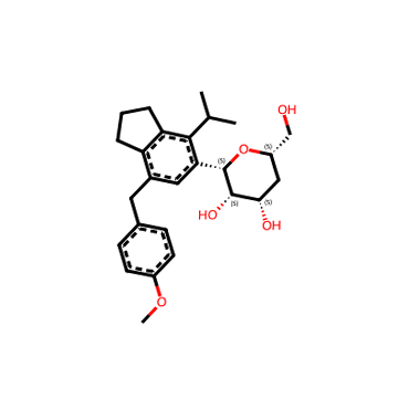 COc1ccc(Cc2cc([C@@H]3O[C@H](CO)C[C@H](O)[C@@H]3O)c(C(C)C)c3c2CCC3)cc1